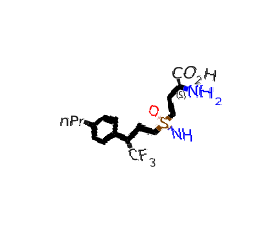 CCCc1ccc(C(CCS(=N)(=O)CC[C@H](N)C(=O)O)C(F)(F)F)cc1